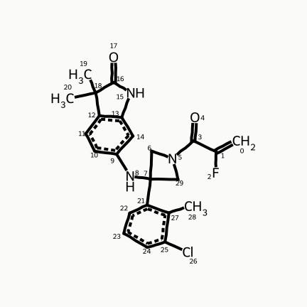 C=C(F)C(=O)N1CC(Nc2ccc3c(c2)NC(=O)C3(C)C)(c2cccc(Cl)c2C)C1